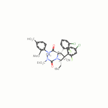 CCOC(=O)N(C)C(=O)N1[C@@H](CC(C)(C)C)[C@](C#N)(c2ccc(Cl)cc2F)[C@@H](c2cccc(Cl)c2F)[C@@H]1C(=O)Nc1ccc(C(=O)O)cc1OC